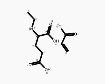 C=CC(=O)O.CCNC(CCC(=O)O)C(=O)O